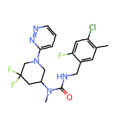 Cc1cc(CNC(=O)N(C)C2CN(c3cccnn3)CC(F)(F)C2)c(F)cc1Cl